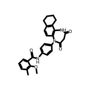 COc1c(C)cccc1C(=O)Nc1ccc(N2C(=O)CC(=O)Nc3c2ccc2c3CCCC2)cc1